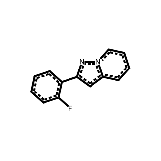 Fc1ccccc1-c1cc2ccccn2n1